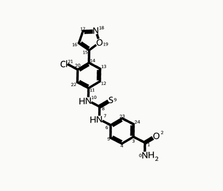 NC(=O)c1ccc(NC(=S)Nc2ccc(-c3ccno3)c(Cl)c2)cc1